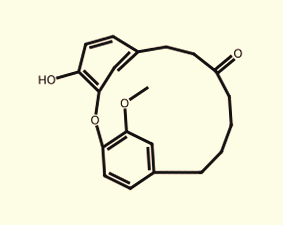 COc1cc2ccc1Oc1cc(ccc1O)CCC(=O)CCCC2